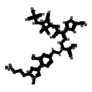 C[n+]1cc(-c2ccc(OC[C@H](O/N=C(\C(=O)NC3C(=O)N(OS(=O)(=O)[O-])C3(C)C)c3csc(N)n3)C(=O)O)cc2Cl)cn1CCCN